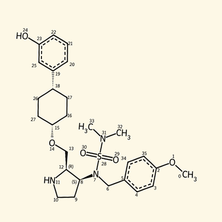 COc1ccc(CN([C@H]2CCN[C@H]2CO[C@H]2CC[C@@H](c3cccc(O)c3)CC2)S(=O)(=O)N(C)C)cc1